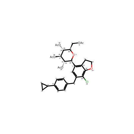 CC(=O)OC[C@H]1O[C@@H](c2cc(Cc3ccc(C4CC4)cc3)c(Cl)c3c2CCO3)[C@H](OC(C)=O)[C@@H](OC(C)=O)[C@@H]1OC(C)=O